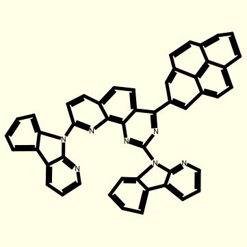 c1cc2ccc3cc(-c4nc(-n5c6ccccc6c6cccnc65)nc5c4ccc4ccc(-n6c7ccccc7c7cccnc76)nc45)cc4ccc(c1)c2c34